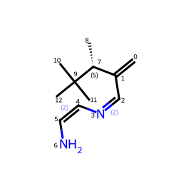 C=C(/C=N\C=C/N)[C@@H](C)C(C)(C)C